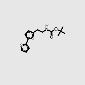 CC(C)(C)OC(=O)NCCc1ccc(-c2cccs2)s1